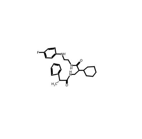 C[C@@H](C(=O)NCC(C(=O)NCCNc1ccc(F)cc1)C1CCCCC1)c1ccccc1